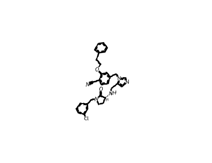 N#Cc1ccc(Cn2cncc2CN[C@@H]2CCN(Cc3cccc(Cl)c3)C2=O)cc1OCCc1ccccc1